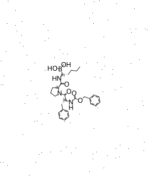 CCCC[C@H](NC(=O)[C@@H]1CCCN1C(=O)[C@@H](Cc1ccccc1)NC(=O)OCc1ccccc1)B(O)O